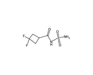 NS(=O)(=O)NC(=O)C1CC(F)(F)C1